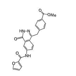 COC(=O)c1ccc(Cc2n[nH]c(=O)c3cc(NC(=O)c4ccco4)ccc23)cc1